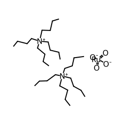 CCCC[N+](CCCC)(CCCC)CCCC.CCCC[N+](CCCC)(CCCC)CCCC.[O]=[Ru](=[O])([O-])[O-]